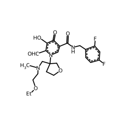 CCOCCN(C)CC1(n2cc(C(=O)NCc3ccc(F)cc3F)c(=O)c(O)c2C=O)CCOC1